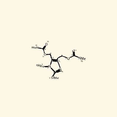 CCCCCCn1c(SC)nc(COC(=O)NC)c1COC(=O)NC